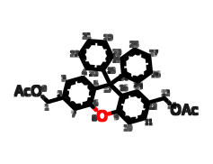 CC(=O)OCc1ccc2c(c1)Oc1ccc(COC(C)=O)cc1C2(c1ccccc1)c1ccccc1